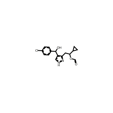 O=COC(Cc1n[nH]cc1C(O)c1ccc(Cl)cc1)C1CC1